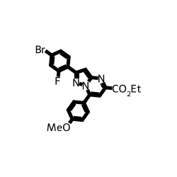 CCOC(=O)c1cc(-c2ccc(OC)cc2)n2nc(-c3ccc(Br)cc3F)cc2n1